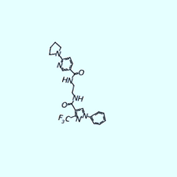 O=C(NCCNC(=O)c1cn(-c2ccccc2)nc1C(F)(F)F)c1ccc(N2CCCC2)nc1